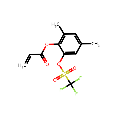 C=CC(=O)Oc1c(C)cc(C)cc1OS(=O)(=O)C(F)(F)F